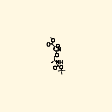 COC(=O)c1cc(OC[C@H](C)NC(=O)OC(C)(C)C)no1